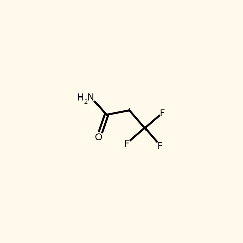 NC(=O)[CH]C(F)(F)F